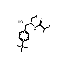 [CH3][Sn]([CH3])([CH3])[c]1ccc([C@H](O)[C@@H](CF)NC(=O)C(F)F)cc1